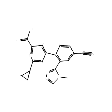 Cn1cnnc1-c1cc(C#N)ccc1-c1cc(C(=O)O)nc(C2CC2)c1